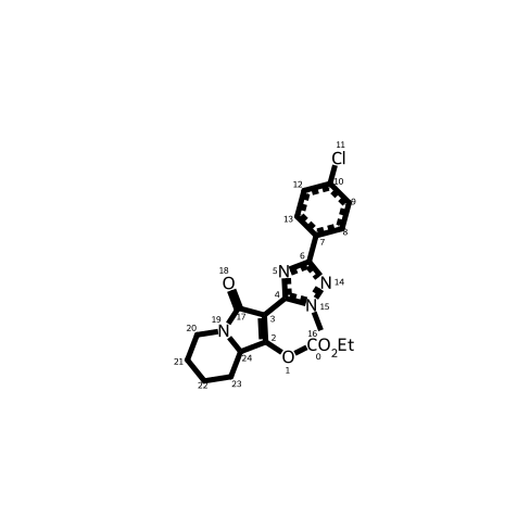 CCOC(=O)OC1=C(c2nc(-c3ccc(Cl)cc3)nn2C)C(=O)N2CCCCC12